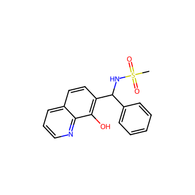 CS(=O)(=O)NC(c1ccccc1)c1ccc2cccnc2c1O